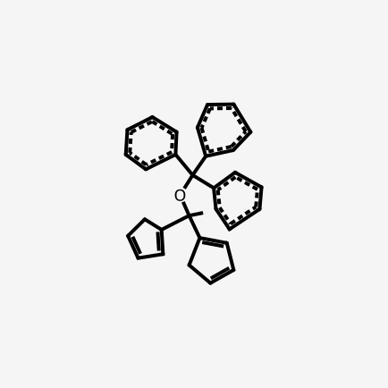 CC(OC(c1ccccc1)(c1ccccc1)c1ccccc1)(C1=CC=CC1)C1=CC=CC1